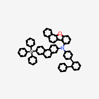 c1ccc(-c2ccccc2-c2ccc(N(c3ccc4c(ccc5cc([Si](c6ccccc6)(c6ccccc6)c6ccccc6)ccc54)c3)c3cccc4oc5c6ccccc6ccc5c34)cc2)cc1